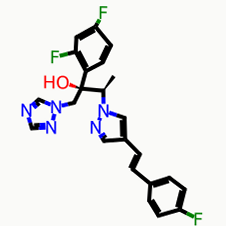 C[C@@H](n1cc(/C=C/c2ccc(F)cc2)cn1)[C@](O)(Cn1cncn1)c1ccc(F)cc1F